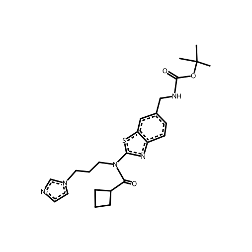 CC(C)(C)OC(=O)NCc1ccc2nc(N(CCCn3ccnc3)C(=O)C3CCC3)sc2c1